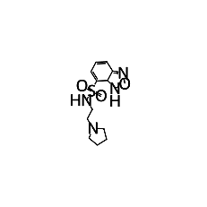 O=S(=O)(NCCN1CCCC1)C1=CC=CC2=NONC12